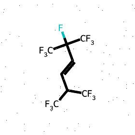 FC(F)(F)C(C=CC(F)(C(F)(F)F)C(F)(F)F)C(F)(F)F